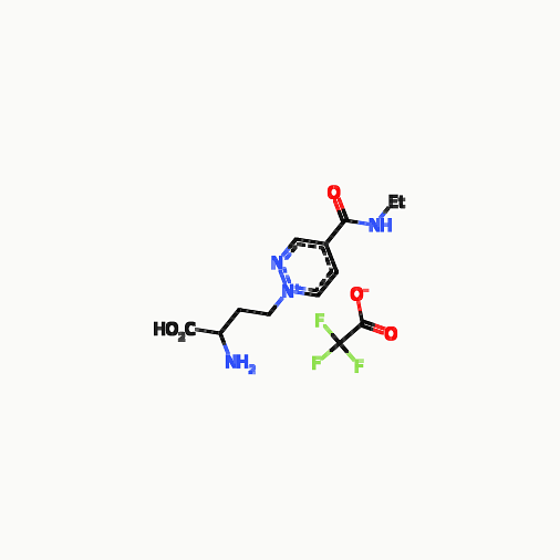 CCNC(=O)c1cc[n+](CCC(N)C(=O)O)nc1.O=C([O-])C(F)(F)F